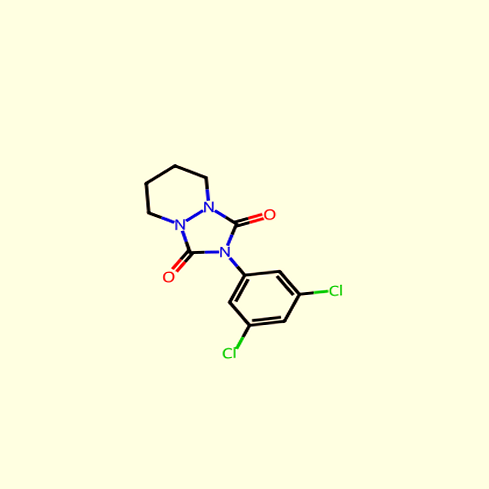 O=c1n(-c2cc(Cl)cc(Cl)c2)c(=O)n2n1CCCC2